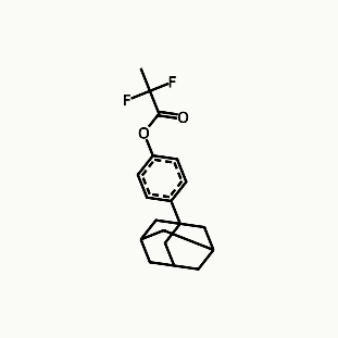 CC(F)(F)C(=O)Oc1ccc(C23CC4CC(CC(C4)C2)C3)cc1